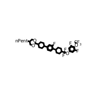 CCCCCC1COC(C2CCC(c3ccc(C4CCC(C(F)(F)Oc5cc(F)c(OC(F)(F)F)c(F)c5)CC4)c(F)c3)CC2)OC1